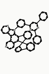 c1ccc(-c2cc(-c3cccc(-n4c5ncccc5c5c6cnccc6c6c(c54)-c4ccccc4C64c5ccccc5-c5ccccc54)c3)nc(-c3ccccc3)n2)cc1